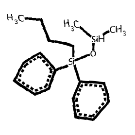 CCCC[Si](O[SiH](C)C)(c1ccccc1)c1ccccc1